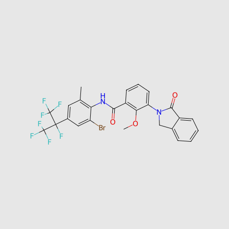 COc1c(C(=O)Nc2c(C)cc(C(F)(C(F)(F)F)C(F)(F)F)cc2Br)cccc1N1Cc2ccccc2C1=O